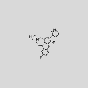 CN1CC=C(c2cc(F)ccc2F)c2cc(F)c(-c3cccnn3)cc2C1